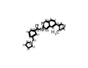 Cn1cncc1-c1ccc2cnc(NC(=O)c3cccc(CN4CCCC4)c3)cc2c1